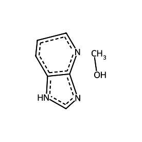 CO.c1cnc2nc[nH]c2c1